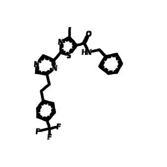 Cc1nc(-c2cncc(CCc3ccc(C(F)(F)F)cc3)n2)sc1C(=O)NCc1ccccc1